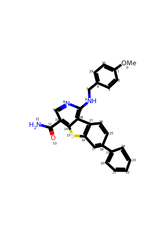 COc1ccc(CNc2ncc(C(N)=O)c3sc4cc(-c5ccccc5)ccc4c23)cc1